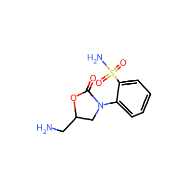 NCC1CN(c2ccccc2S(N)(=O)=O)C(=O)O1